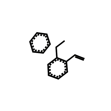 C=Cc1ccccc1CC.c1ccccc1